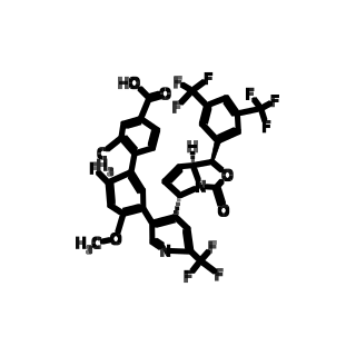 COc1cc(F)c(-c2ccc(C(=O)O)cc2C)cc1-c1cnc(C(F)(F)F)cc1[C@@H]1C=C[C@H]2[C@@H](c3cc(C(F)(F)F)cc(C(F)(F)F)c3)OC(=O)N12